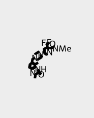 CNC(=O)c1ncc(N2CCN(Cc3ccc4nc(C)c(=O)[nH]c4c3C)CC2)cc1C(F)F